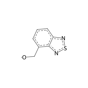 [O]Cc1cccc2nsnc12